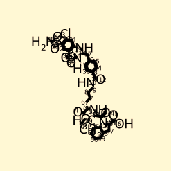 CCOC(=O)[C@H](CCCCNC(=O)c1ccc(CC2Nc3cc(Cl)c(S(N)(=O)=O)cc3S(=O)(=O)N2)cc1)N[C@@H](C)C(=O)N1C(C(=O)O)CC2CCCCC21